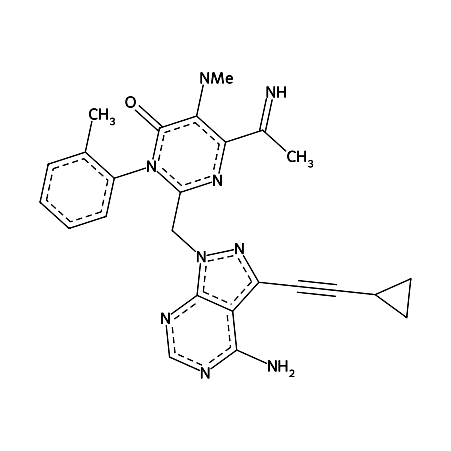 CNc1c(C(C)=N)nc(Cn2nc(C#CC3CC3)c3c(N)ncnc32)n(-c2ccccc2C)c1=O